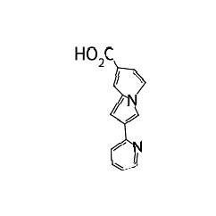 O=C(O)c1ccn2cc(-c3ccccn3)cc2c1